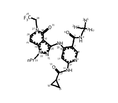 [2H]C([2H])([2H])NC(=O)c1cnc(NC(=O)C2CC2)cc1Nc1nn(CCC)c2ccn(CC(F)(F)F)c(=O)c12